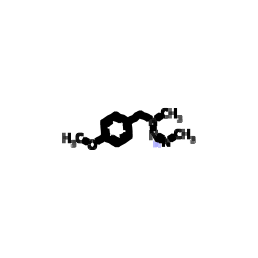 C/N=N\N(C)Cc1ccc(OC)cc1